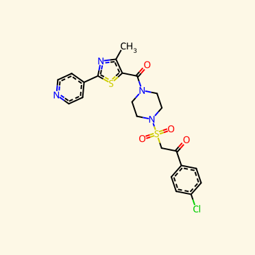 Cc1nc(-c2ccncc2)sc1C(=O)N1CCN(S(=O)(=O)CC(=O)c2ccc(Cl)cc2)CC1